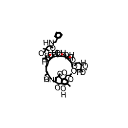 C=C(OC(=O)C(C)(C)CC(=O)NCc1ccccc1)[C@H]1/C=C/C=C(/C)C(=O)NC2=CC(=O)c3c(c(O)c(C)c4c3C(=O)[C@@](C)(O/C=C/[C@H](O[C@H]3C[C@@H]5OCO[C@@H]5[C@@H](C)O3)[C@@H](C)[C@@H](O)[C@H](C)[C@H](O)[C@H](C)[C@H]1O)O4)C2=O